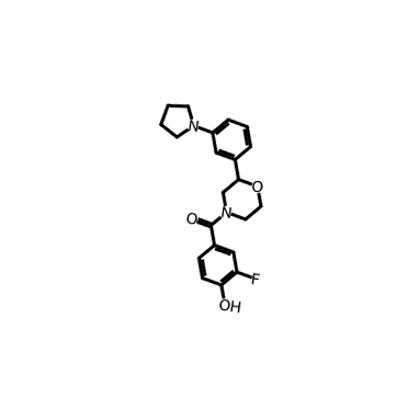 O=C(c1ccc(O)c(F)c1)N1CCOC(c2cccc(N3CCCC3)c2)C1